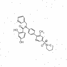 Cc1cc(S(=O)(=O)N2CCCCC2)cnc1-c1ccc(N(Cc2cccnc2)C(=O)c2ccc(O)cc2O)cc1